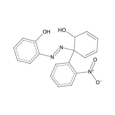 O=[N+]([O-])c1ccccc1C1(N=Nc2ccccc2O)C=CC=CC1O